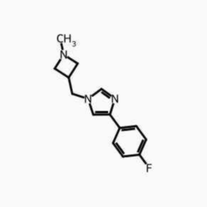 CN1CC(Cn2cnc(-c3ccc(F)cc3)c2)C1